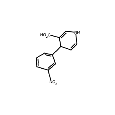 O=C(O)C1=CNC=CC1c1cccc([N+](=O)[O-])c1